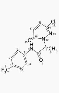 CC(C(=O)Nc1ccc(C(F)(F)F)cc1)n1nc(Cl)ccc1=O